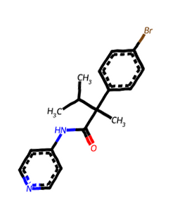 CC(C)C(C)(C(=O)Nc1ccncc1)c1ccc(Br)cc1